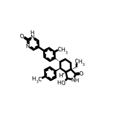 CC[C@@]12CC[C@@H](c3ccc(-c4cnc(=O)[nH]c4)cc3C)[C@H](c3ccc(C)cc3)[C@@H]1C(O)NC2=O